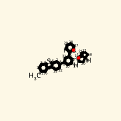 Cc1ccc2sc3cc(-c4ccc([C@H]5[C@H]6CC7C(C[C@@H]7C6)C[C@@H]5C)c(-c5ccccc5)c4)ccc3c2c1